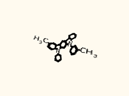 Cc1cccc(-n2c3ccccc3c3cc4c5cc(C)ccc5n(-c5ccccc5)c4cc32)c1